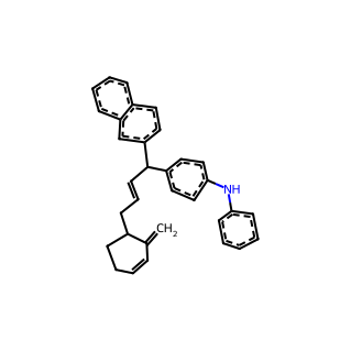 C=C1C=CCCC1C/C=C/C(c1ccc(Nc2ccccc2)cc1)c1ccc2ccccc2c1